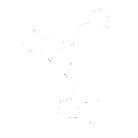 COc1cccc(C=NNc2nc3nonc3nc2NCc2ccccc2)c1O